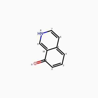 O=c1cccc2cc[nH]cc1-2